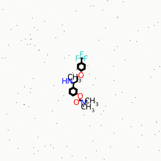 CNC(CCOc1ccc(C(F)(F)F)cc1)c1cccc(OC(=O)N(C)C)c1